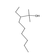 CCCCCCC(CC)C(C)(C)O